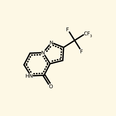 O=c1[nH]ccn2nc(C(F)(F)C(F)(F)F)cc12